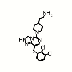 NCCC1CCN(C2=NC=C(Sc3cccc(Cl)c3Cl)C3=NNCN32)CC1